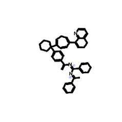 C=C(/N=C(\N=C(/C)c1ccccc1)C1=CCCC=C1)c1ccc(C2(C3=CCC=C(C4=CCCc5cccnc54)C=C3)CCCCC2)cc1